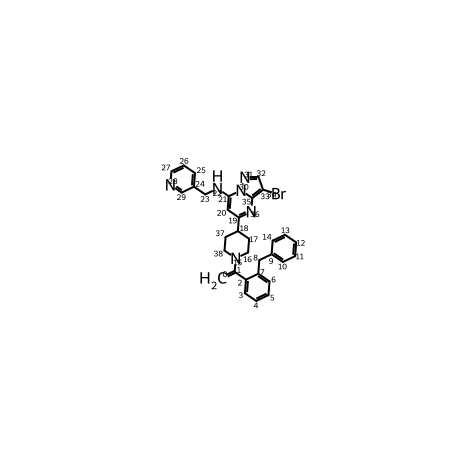 C=C(c1ccccc1Cc1ccccc1)N1CCC(c2cc(NCc3cccnc3)n3ncc(Br)c3n2)CC1